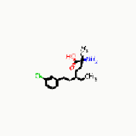 CCC(CCc1cccc(Cl)c1)CCC(C)(N)C(=O)O